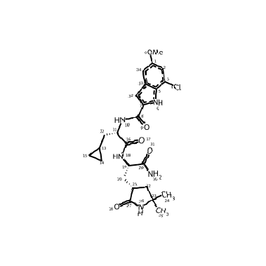 COc1cc(Cl)c2[nH]c(C(=O)N[C@@H](CC3CC3)C(=O)N[C@@H](C[C@@H]3CC(C)(C)NC3=O)C(N)=O)cc2c1